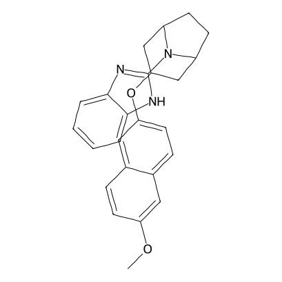 COc1ccc2cc(OC3CC4CCC(C3)N4c3nc4ccccc4[nH]3)ccc2c1